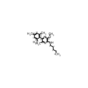 CCCCCNc1nc(C)c(-c2c(C)cc(C)cc2C)nc1OC